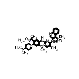 CO/N=C(\C)c1cc(Nc2ncc(C)c(Nc3cnc4ccccc4c3P(C)(C)=O)n2)c(OC)cc1N1CCC(N(C)C)CC1